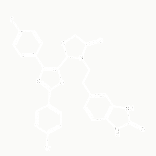 O=C1COC(c2oc(-c3ccc(Br)cc3)nc2-c2ccc(F)cc2)N1CCc1ccc2[nH]c(=O)[nH]c2c1